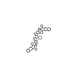 O=c1c(=Nc2cc3sc4c(c3s2)C2(CCCCC2)c2c-4sc3cc(N=c4c(=O)c5cc6ccccc6cc5c4=O)sc23)c(=O)c2cc3ccccc3cc12